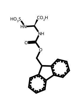 O=C(N[C@@H](NS(=O)(=O)O)C(=O)O)OCC1c2ccccc2-c2ccccc21